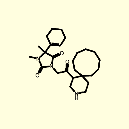 CN1C(=O)N(CC(=O)C2CNCCC23CCCCCCCC3)C(=O)C1(C)C1=CCCCC1